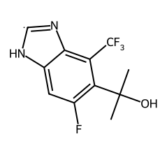 CC(C)(O)c1c(F)cc2[nH][c]nc2c1C(F)(F)F